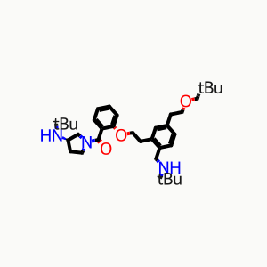 CC(C)(C)COCCc1ccc(CNC(C)(C)C)c(CCOc2ccccc2C(=O)N2CC[C@@H](NC(C)(C)C)C2)c1